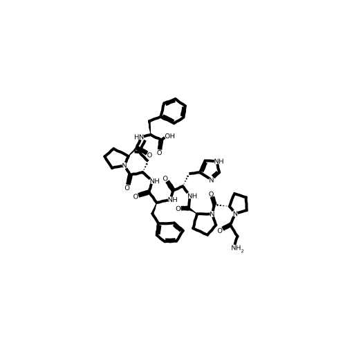 CC(C)C[C@H](NC(=O)[C@H](Cc1ccccc1)NC(=O)[C@H](Cc1c[nH]cn1)NC(=O)[C@@H]1CCCN1C(=O)[C@@H]1CCCN1C(=O)CN)C(=O)N1CCC[C@H]1C(=O)N[C@@H](Cc1ccccc1)C(=O)O